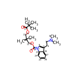 CN(C)CCc1cn(C(=O)OCC(C)(C)COC(=O)C(C)(C)C)c2ccccc12